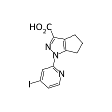 O=C(O)c1nn(-c2cc(I)ccn2)c2c1CCC2